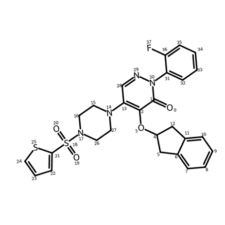 O=c1c(OC2Cc3ccccc3C2)c(N2CCN(S(=O)(=O)c3cccs3)CC2)cnn1-c1ccccc1F